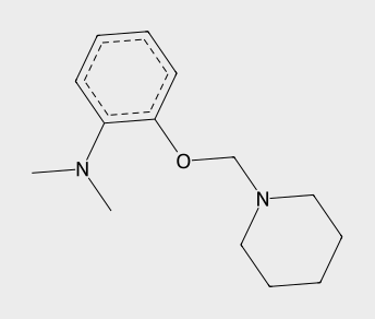 CN(C)c1ccccc1OCN1CCCCC1